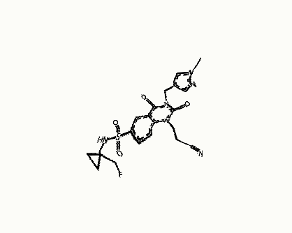 Cn1cc(Cn2c(=O)c3cc(S(=O)(=O)NC4(CF)CC4)ccc3n(CCC#N)c2=O)cn1